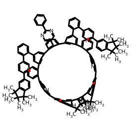 CC1(C)c2ccc(-c3ccc(-c4ccccc4-c4cc5cc(c4)-c4cccc(c4-c4cnc(-c6ccccc6)nc4)-c4cc(-c6ccccc6-c6ccc(-c7ccc8c(c7)C(C)(C)C(C)(C)C8(C)C)nc6)cc(c4)-c4ccccc4-c4ccc(nc4)-c4ccc6c(c4)C(C)(C)C(C)(C)C6(C)C4(C)c6ccc(cc6C(C)(C)C4(C)C)-c4ccc(cn4)-c4ccccc4-5)cn3)cc2C(C)(C)C1(C)C